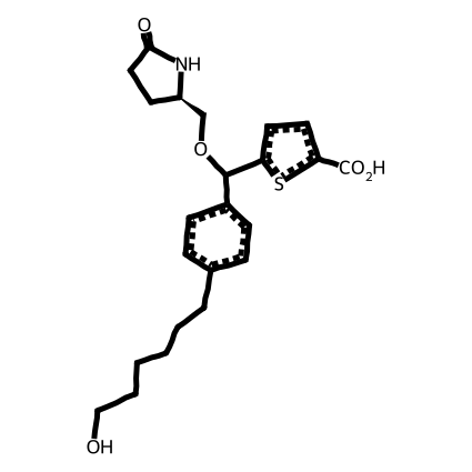 O=C1CC[C@H](COC(c2ccc(CCCCCCO)cc2)c2ccc(C(=O)O)s2)N1